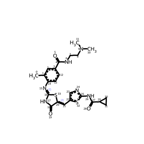 Cc1cc(C(=O)NCCN(C)C)ccc1/N=C1/NC(=O)/C(=C/c2cnc(NC(=O)C3CC3)s2)S1